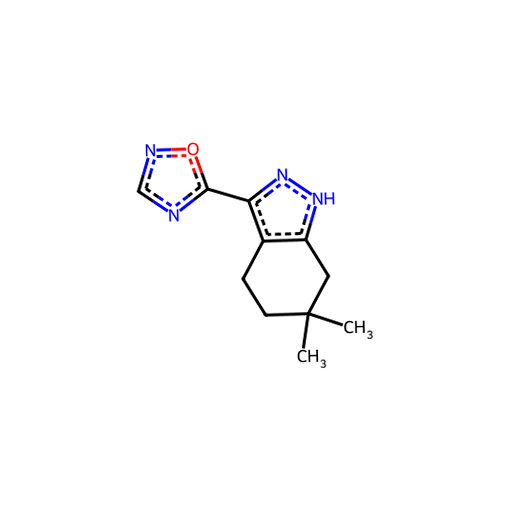 CC1(C)CCc2c(-c3ncno3)n[nH]c2C1